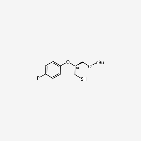 CCCCOC[C@@H](CS)Oc1ccc(F)cc1